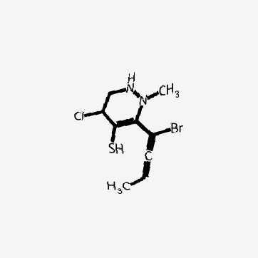 CC=C=C(Br)C1=C(S)C(Cl)CNN1C